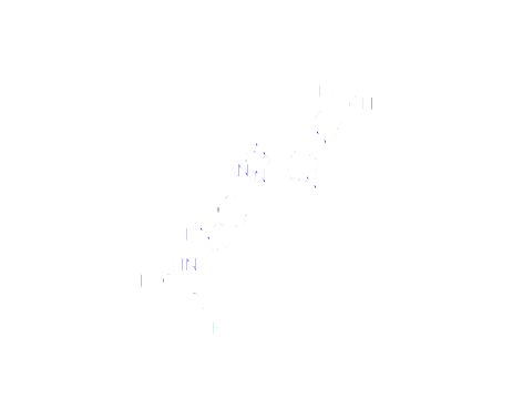 CC(NCc1cc2ccc(Cn3cnc(-c4cncc(N5C=CC(C)(C)C=C5)c4)n3)cc2[nH]1)C12CC(F)(C1)C2